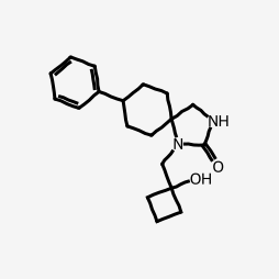 O=C1NCC2(CCC(c3ccccc3)CC2)N1CC1(O)CCC1